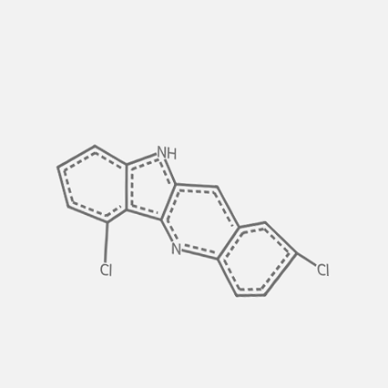 Clc1ccc2nc3c(cc2c1)[nH]c1cccc(Cl)c13